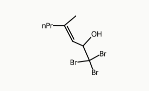 CCC/C(C)=C/C(O)C(Br)(Br)Br